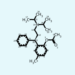 CC(=O)Oc1ccc(C)cc1[C@H](CCN(C(C)C)C(C)C)c1ccccc1